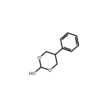 OC1OCC(c2ccccc2)CO1